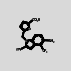 CCCc1cc2c(C(F)(F)F)c(N)ccc2n1Cc1ccc(C(=O)O)o1